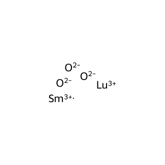 [Lu+3].[O-2].[O-2].[O-2].[Sm+3]